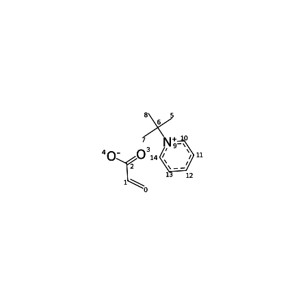 C=CC(=O)[O-].CC(C)(C)[n+]1ccccc1